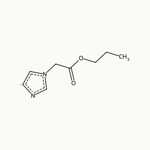 CCCOC(=O)Cn1c[c]nc1